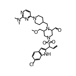 C=CC(c1cc2ccc(Cl)cc2[nH]1)S(=O)(=O)N1CC(C=O)N(CC2CCN(c3ccnc(N(C)C)n3)CC2)C(COC)C1